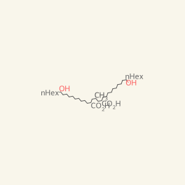 CCCCCCC(O)CCCCCCCCCC(CC(C)CC(CCCCCCCCCC(O)CCCCCC)C(=O)O)C(=O)O